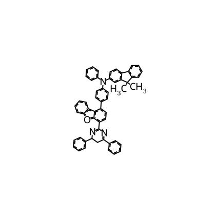 CC1(C)c2ccccc2-c2ccc(N(c3ccccc3)c3ccc(-c4ccc(C5=NC(c6ccccc6)CC(c6ccccc6)=N5)c5oc6ccccc6c45)cc3)cc21